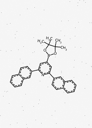 CC1(C)OB(c2cc(-c3ccc4ccccc4c3)nc(-c3ccc4ccccc4c3)c2)OC1(C)C